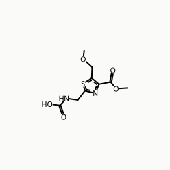 COCc1sc(CNC(=O)O)nc1C(=O)OC